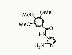 COc1cc(C(=O)Nn2ccnc2N)cc(OC)c1OC